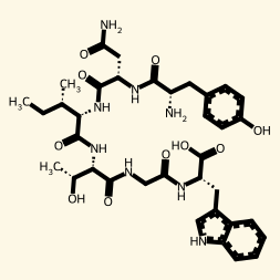 CC[C@H](C)[C@H](NC(=O)[C@H](CC(N)=O)NC(=O)[C@@H](N)Cc1ccc(O)cc1)C(=O)N[C@H](C(=O)NCC(=O)N[C@@H](Cc1c[nH]c2ccccc12)C(=O)O)[C@@H](C)O